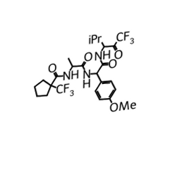 COc1ccc(C(NC(=O)C(C)NC(=O)C2(C(F)(F)F)CCCC2)C(=O)NC(C(=O)C(F)(F)F)C(C)C)cc1